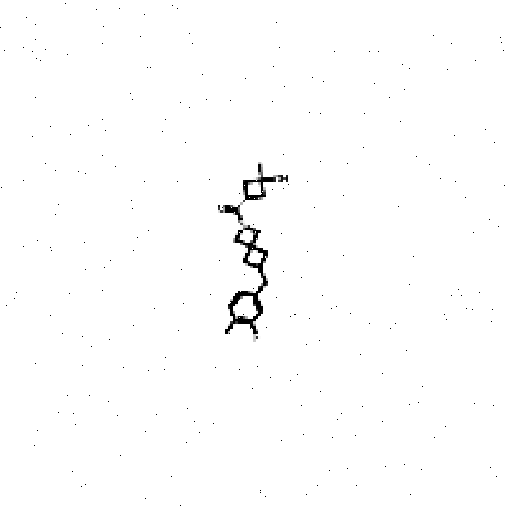 Cc1ccc(CC2CC3(C2)CN(C(=O)[C@H]2C[C@@](C)(O)C2)C3)cc1F